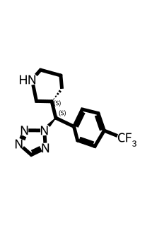 FC(F)(F)c1ccc([C@H]([C@H]2CCCNC2)n2ncnn2)cc1